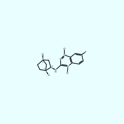 [O-][n+]1nc(N[C@@H]2C[C@H]3CC[C@@H]2C3)[n+]([O-])c2ccc(F)cc21